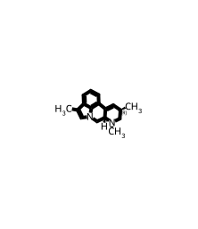 Cc1cn2c3c(cccc13)C1=C[C@@H](C)CN(C)[C@@H]1C2